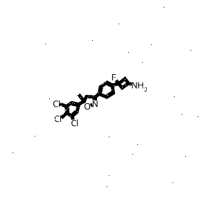 CC1(c2cc(Cl)c(Cl)c(Cl)c2)CC(c2ccc(C3(F)CC(N)C3)cc2)=NO1